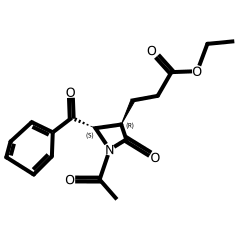 CCOC(=O)CC[C@H]1C(=O)N(C(C)=O)[C@@H]1C(=O)c1ccccc1